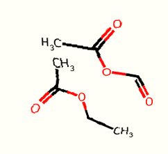 CC(=O)OC=O.CCOC(C)=O